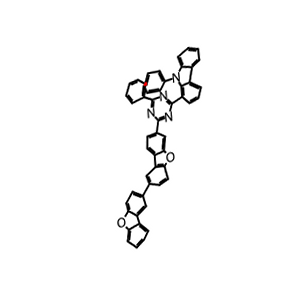 c1ccc(-c2nc(-c3ccc4c(c3)oc3ccc(-c5ccc6oc7ccccc7c6c5)cc34)nc(-c3cccc4c5ccccc5n(-c5ccccc5)c34)n2)cc1